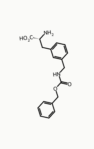 N[C@H](Cc1cccc(CNC(=O)OCc2ccccc2)c1)C(=O)O